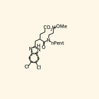 CCCCCN(CCCOC)C(=O)C(CCC(=O)O)Cc1nc2cc(Cl)c(Cl)cc2[nH]1